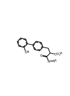 CCCCCCCC(=O)C(Cc1ccc(-c2ccccc2C#N)cc1)C(=O)O